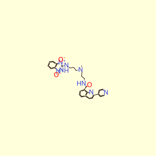 CN(CCCNC(=O)c1cccc2ccc(-c3ccncc3)nc12)CCCNc1n[n+]([O-])c2ccccc2[n+]1[O-]